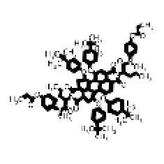 C=CC(=O)Oc1ccc(N(C)C(=O)C(CCC)N2C(=O)c3cc(Oc4ccc(C(C)(C)C)cc4)c4c5c(Oc6ccc(C(C)(C)C)cc6)cc6c7c(cc(Oc8ccc(C(C)(C)C)cc8)c(c8c(Oc9ccc(C(C)(C)C)cc9)cc(c3c48)C2=O)c75)C(=O)N(C(CCC)C(=O)N(C)c2ccc(OC(=O)C=C)cc2)C6=O)cc1